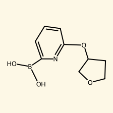 OB(O)c1cccc(OC2CCOC2)n1